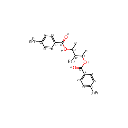 CCCc1ccc(C(=O)OC(C)C(CC)C(C)OC(=O)c2ccc(CCC)cc2)cc1